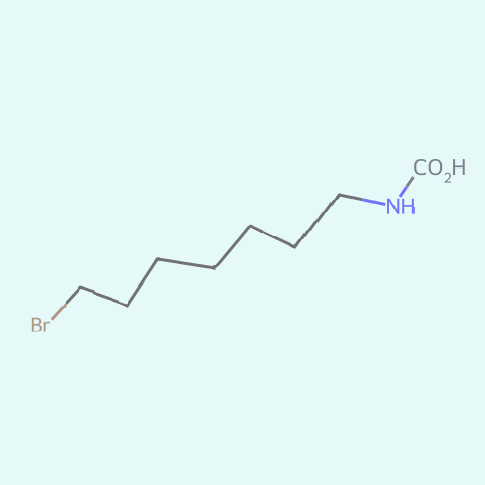 O=C(O)NCCCCCCCBr